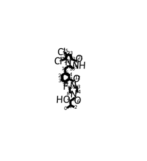 CC(C)C(O)C(=O)N1CCN(C(=O)c2cc(Cc3c[nH]c(=O)c4cc(Cl)c(Cl)n34)ccc2F)CC1